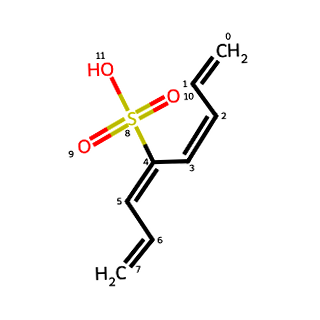 C=C/C=C\C(=C/C=C)S(=O)(=O)O